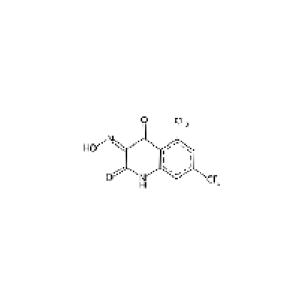 O=C1Nc2cc(C(F)(F)F)cc(C(F)(F)F)c2C(=O)/C1=N/O